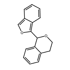 c1ccc2c(c1)CCOC2c1occ2ccccc12